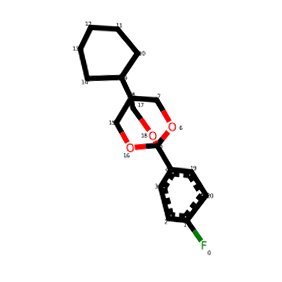 Fc1ccc(C23OCC(C4CCCCC4)(CO2)CO3)cc1